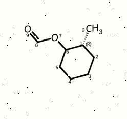 C[C@@H]1CCCCC1OC=O